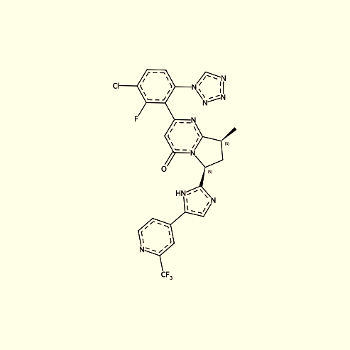 C[C@H]1C[C@@H](c2ncc(-c3ccnc(C(F)(F)F)c3)[nH]2)n2c1nc(-c1c(-n3cnnn3)ccc(Cl)c1F)cc2=O